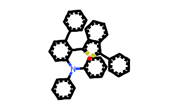 c1ccc(-c2cccc(N(c3ccccc3)c3ccccc3)c2-c2sc(-c3ccccc3)c3ccccc23)cc1